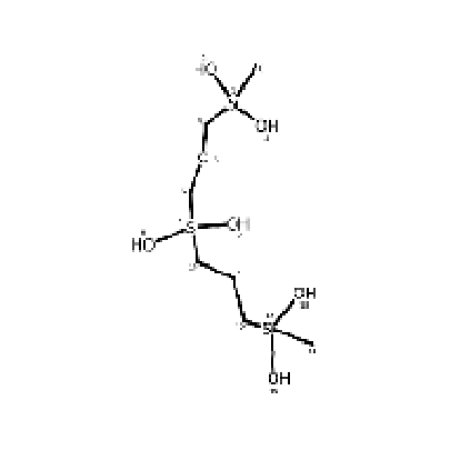 C[Si](O)(O)CCC[Si](O)(O)CCC[Si](C)(O)O